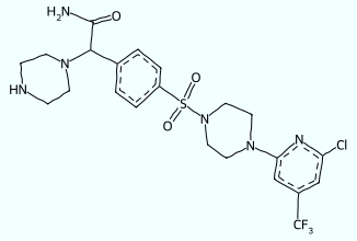 NC(=O)C(c1ccc(S(=O)(=O)N2CCN(c3cc(C(F)(F)F)cc(Cl)n3)CC2)cc1)N1CCNCC1